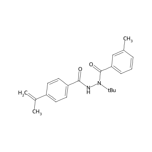 C=C(C)c1ccc(C(=O)NN(C(=O)c2cccc(C)c2)C(C)(C)C)cc1